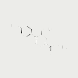 CCOC(=O)C1CN(C(=O)OC(C)(C)C)CCN1c1ccc(C(F)(F)F)cc1